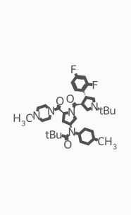 CC1CCC(N(C(=O)C(C)(C)C)[C@H]2C[C@@H](C(=O)N3CCN(C)CC3)N(C(=O)[C@@H]3CN(C(C)(C)C)C[C@H]3c3ccc(F)cc3F)C2)CC1